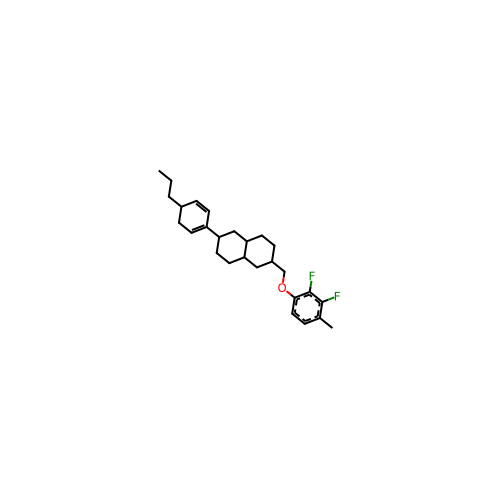 CCCC1C=CC(C2CCC3CC(COc4ccc(C)c(F)c4F)CCC3C2)=CC1